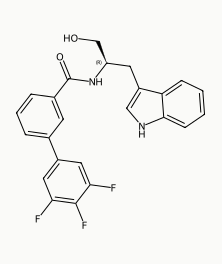 O=C(N[C@@H](CO)Cc1c[nH]c2ccccc12)c1cccc(-c2cc(F)c(F)c(F)c2)c1